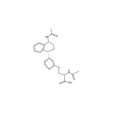 CC(=O)NC(CSc1cccc([C@H]2CCC(NC(C)=O)c3ccccc32)c1)C(=O)O